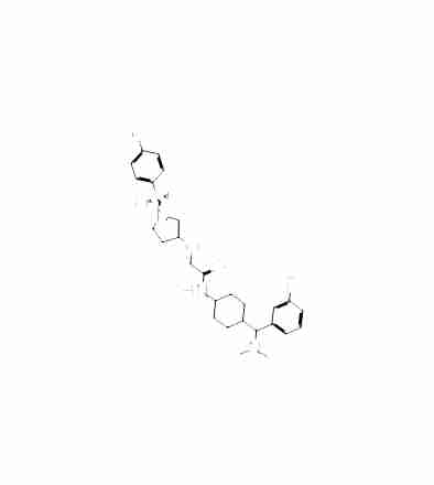 CN(C)C(c1cccc(F)c1)C1CCC(NC(=O)COC2CCN(S(=O)(=O)c3ccc(Cl)cc3)C2)CC1